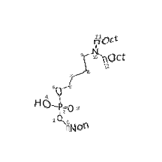 CCCCCCCCCOP(=O)(O)OCCCCN(CCCCCCCC)CCCCCCCC